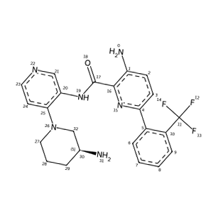 Nc1ccc(-c2ccccc2C(F)(F)F)nc1C(=O)Nc1cnccc1N1CCC[C@H](N)C1